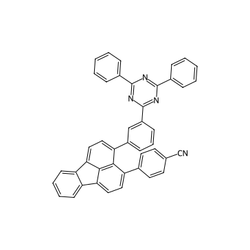 N#Cc1ccc(-c2ccc3c4c(ccc(-c5cccc(-c6nc(-c7ccccc7)nc(-c7ccccc7)n6)c5)c24)-c2ccccc2-3)cc1